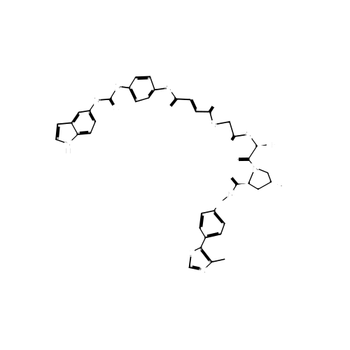 Cc1ncsc1-c1ccc(CNC(=O)[C@@H]2C[C@@H](O)CN2C(=O)[C@@H](NC(=O)CNC(=O)/C=C/C(=O)Nc2ccc(NC(=O)Nc3ccc4[nH]ccc4c3)cc2)C(C)(C)C)cc1